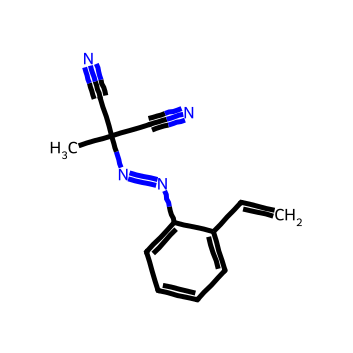 C=Cc1ccccc1/N=N/C(C)(C#N)C#N